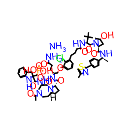 CC(=O)N1CC[C@H]2CC[C@@H](C(=O)N[C@@H](CCC(N)=O)COc3cccc(CCCC(=O)N[C@H](C(=O)N4C[C@H](O)C[C@H]4C(=O)N[C@@H](C)c4ccc(-c5nc(C)cs5)cc4)C(C)(C)C)c3Cl)N2C(=O)[C@@H](NC(=O)C2(C(=O)P(=O)(O)O)Cc3ccccc3N2)C1.N